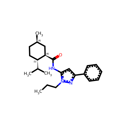 CCCn1nc(-c2ccccc2)cc1NC(=O)[C@@H]1C[C@H](C)CC[C@H]1C(C)C